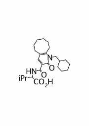 CC(C)C(NC(=O)c1cc2c(n(CC3CCCCC3)c1=O)CCCCCC2)C(=O)O